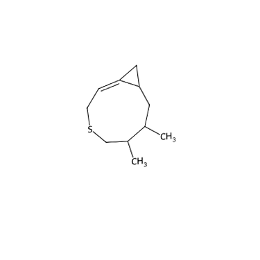 CC1CSC/C=C2/CC2CC1C